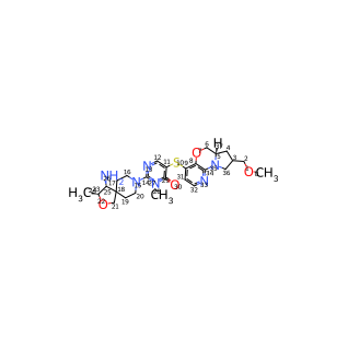 COCC1C[C@H]2COc3c(Sc4cnc(N5CCC6(CC5)CO[C@@H](C)[C@H]6N)n(C)c4=O)ccnc3N2C1